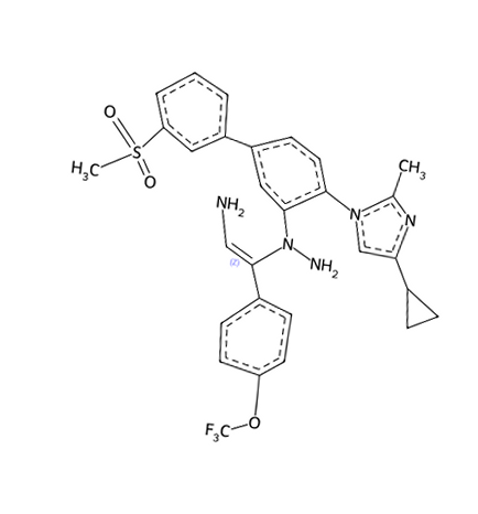 Cc1nc(C2CC2)cn1-c1ccc(-c2cccc(S(C)(=O)=O)c2)cc1N(N)/C(=C\N)c1ccc(OC(F)(F)F)cc1